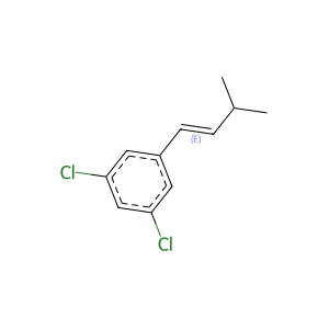 CC(C)/C=C/c1cc(Cl)cc(Cl)c1